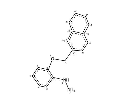 NNc1ccccc1OCc1ccc2ccccc2n1